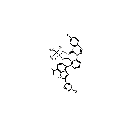 Cn1cc(-c2cc3c(-c4cccc(-n5cnc6ccc(F)cc6c5=O)c4CO[Si](C)(C)C(C)(C)C)ccc(C(N)=O)c3[nH]2)cn1